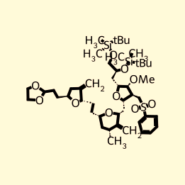 C=C1C[C@H](CCC2OCCO2)O[C@H]1CC[C@H]1C[C@@H](C)C(=C)[C@@H](C[C@@H]2O[C@H](C[C@@H](CO[Si](C)(C)C(C)(C)C)O[Si](C)(C)C(C)(C)C)[C@H](OC)[C@H]2CS(=O)(=O)c2ccccc2)O1